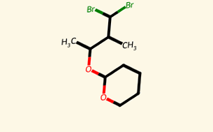 CC(OC1CCCCO1)C(C)C(Br)Br